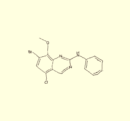 COc1c(Br)cc(Cl)c2cnc(Nc3cc[c]cc3)nc12